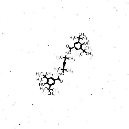 CC(C)(C#CC(C)(C)OOC(=O)c1cc(C(C)(C)C)c(O)c(C(C)(C)C)c1)OOC(=O)c1cc(C(C)(C)C)c(O)c(C(C)(C)C)c1